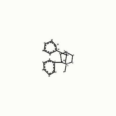 C[N+]12CCN(CC1c1ccccc1)C(c1ccccc1)C2